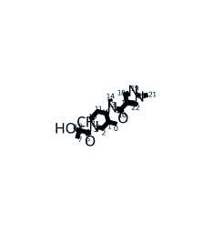 CC1CN(C(=O)[C@@](C)(O)C(F)(F)F)CCC1N(C)C(=O)c1cnn(C)c1